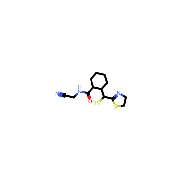 N#CCNC(=O)C1CCCCC1C(S)C1=NCCS1